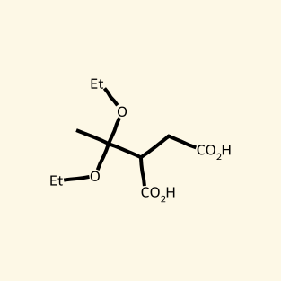 CCOC(C)(OCC)C(CC(=O)O)C(=O)O